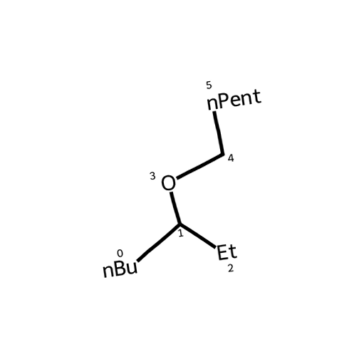 [CH2]CCCC(CC)OCCCCCC